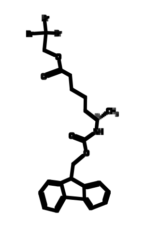 C[C@@H](CCCCC(=O)OCC(Br)(Br)Br)NC(=O)OCC1c2ccccc2-c2ccccc21